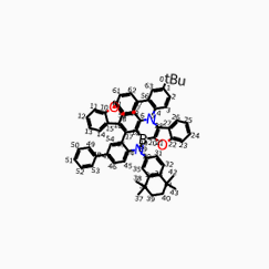 CC(C)(C)c1ccc(N2c3cc4oc5ccccc5c4c4c3B(c3oc5ccccc5c32)N(c2ccc3c(c2)C(C)(C)CCC3(C)C)c2ccc(-c3ccccc3)cc2-4)c(-c2ccccc2)c1